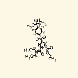 CCOC(=O)c1cc(S(=O)(=O)c2ccc(C(C)(C)C)cc2)nn1C(=O)N(CC)CC